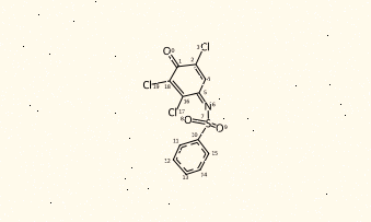 O=C1C(Cl)=CC(=NS(=O)(=O)c2ccccc2)C(Cl)=C1Cl